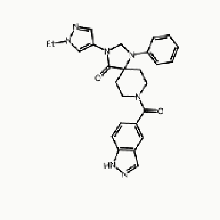 CCn1cc(N2CN(c3ccccc3)C3(CCN(C(=O)c4ccc5[nH]ncc5c4)CC3)C2=O)cn1